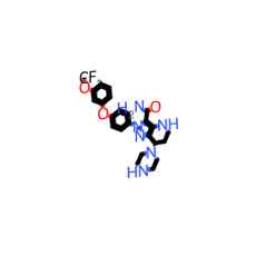 NC(=O)c1c2c(nn1-c1ccc(Oc3cccc(OC(F)(F)F)c3)cc1)[C@@H](N1CCNCC1)CCN2